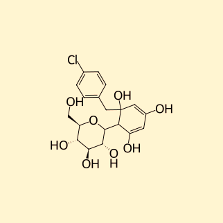 OC[C@H]1OC(C2C(O)=CC(O)=CC2(O)Cc2ccc(Cl)cc2)[C@H](O)[C@@H](O)[C@@H]1O